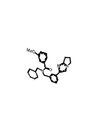 COc1cccc(C(=O)N(Cc2cccc(-c3cn4c(n3)CCC4)c2)CC2CCCCC2)c1